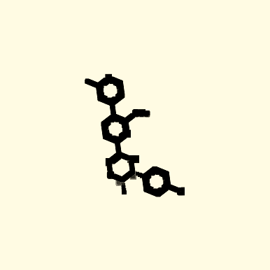 COc1nc(C2=NO[C@@H](C)[C@@H](c3ccc(Cl)cc3)N2)ccc1-c1ccnc(C)c1